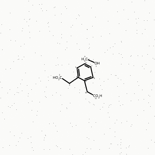 CO.O=C(O)Cc1ccccc1CC(=O)O